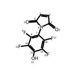 O=C1C=CC(=O)N1c1c(F)c(F)c(O)c(F)c1F